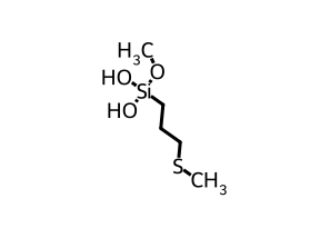 CO[Si](O)(O)CCCSC